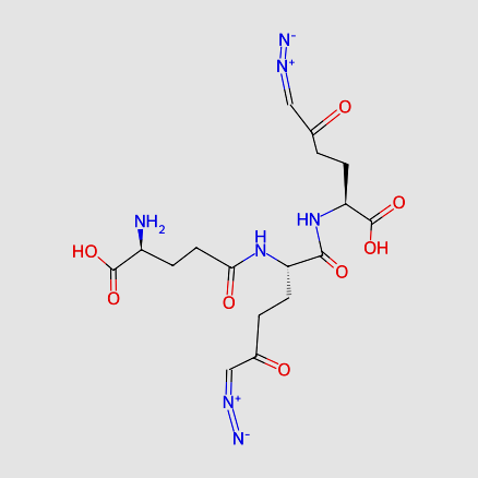 [N-]=[N+]=CC(=O)CC[C@H](NC(=O)[C@H](CCC(=O)C=[N+]=[N-])NC(=O)CC[C@H](N)C(=O)O)C(=O)O